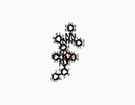 c1ccc(-c2cccc(-c3cc(-c4ccccc4)nc(-c4ccccc4-n4c5ccccc5c5cc6c(cc54)c4ccccc4n6-c4nc(-c5ccccc5)nc(-c5ccccc5)n4)n3)c2)cc1